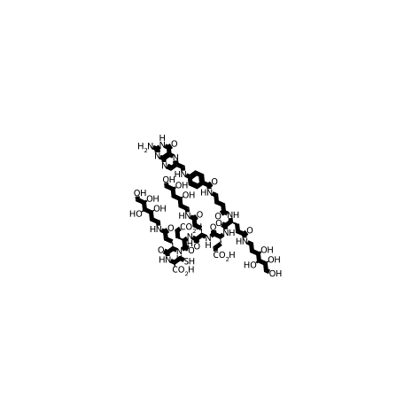 Nc1nc2ncc(CNc3ccc(C(=O)NCCCC(=O)N[C@@H](CCC(=O)NCC[C@@H](O)[C@H](O)[C@H](O)CO)C(=O)N[C@H](CCC(=O)O)C(=O)N[C@@H](CCC(=O)NCC[C@@H](O)C[C@H](O)CO)C(=O)N[C@H](CCC(=O)O)C(=O)N[C@@H](CCC(=O)NCC[C@@H](O)[C@H](O)[C@H](O)CO)C(=O)N[C@H](CS)C(=O)O)cc3)nc2c(=O)[nH]1